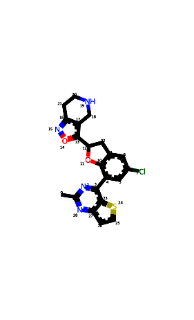 Cc1nc(-c2cc(Cl)cc3c2OC(c2onc4c2CNCC4)C3)c2sccc2n1